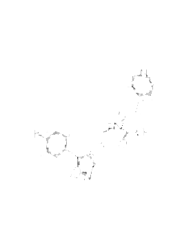 O=C(N(CCCc1cnoc1-c1ccc(F)cc1)CCc1ccncc1)C(F)(F)F